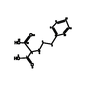 O=C(O)C(SCCc1ccccc1)C(=O)O